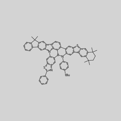 CC(C)(C)c1ccc(N2B3c4cc5nc(-c6ccccc6)sc5cc4-n4c5cc6c(cc5c5ccc(c3c54)-c3cc4sc5cc7c(cc5c4cc32)C(C)(C)CCC7(C)C)C(C)(C)c2ccccc2-6)cc1